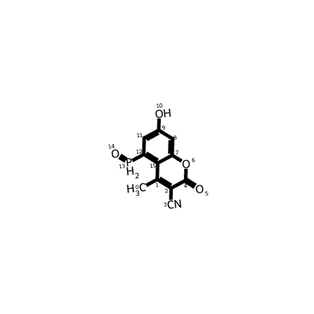 Cc1c(C#N)c(=O)oc2cc(O)cc([PH2]=O)c12